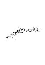 C=CC(=O)OC(CCC)OC(=O)c1ccc(C(=O)Oc2ccc3c(c2)C(C)(C)c2cc(OC(=O)c4ccc(C(=O)OC(CCC)OC(=O)C=C)cc4)ccc2-3)cc1